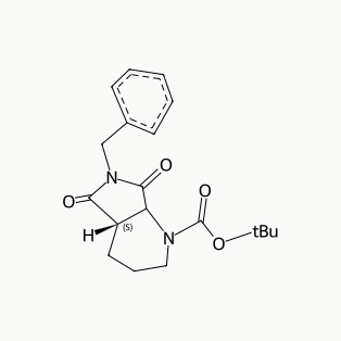 CC(C)(C)OC(=O)N1CCC[C@@H]2C(=O)N(Cc3ccccc3)C(=O)C21